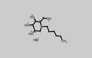 Br.CCCCCCN1CC(O)C(O)C(O)C1CO